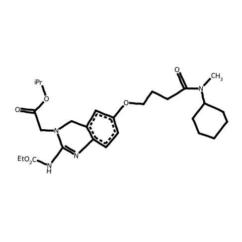 CCOC(=O)NC1=Nc2ccc(OCCCC(=O)N(C)C3CCCCC3)cc2CN1CC(=O)OC(C)C